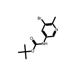 Cc1ncc(NC(=O)OC(C)(C)C)cc1Br